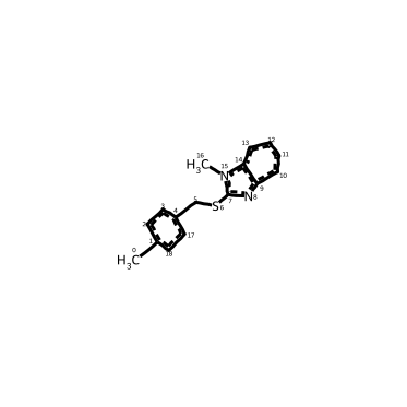 Cc1ccc(CSc2nc3ccccc3n2C)cc1